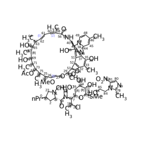 CCC[C@@H]1C[C@@H](C(=O)N[C@@H]([C@H]2O[C@H](SC)[C@H](O)[C@@H](O)[C@H]2O)[C@H](C)Cl)N(C)C1.CO[C@H]1/C=C/O[C@@]2(C)Oc3c(C)c(O)c4c(O)c(c5c(nc6cc(C)ccn65)c4c3C2=O)NC(=O)/C(C)=C\C=C\[C@H](C)[C@H](O)[C@@H](C)[C@@H](O)[C@@H](C)[C@H](OC(C)=O)[C@@H]1C.Cc1ncc([N+](=O)[O-])n1CCO